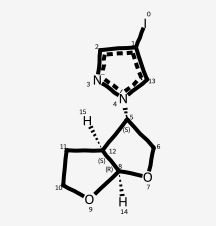 Ic1cnn([C@@H]2CO[C@H]3OCC[C@H]32)c1